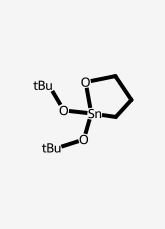 CC(C)(C)[O][Sn]1([O]C(C)(C)C)[CH2]CC[O]1